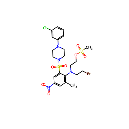 Cc1cc([N+](=O)[O-])cc(S(=O)(=O)N2CCN(c3cccc(Cl)c3)CC2)c1N(CCBr)CCOS(C)(=O)=O